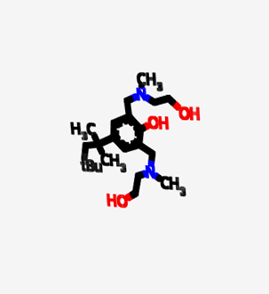 CN(CCO)Cc1cc(C(C)(C)CC(C)(C)C)cc(CN(C)CCO)c1O